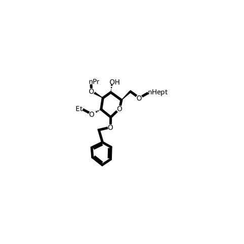 CCCCCCCOC[C@H]1OC(OCc2ccccc2)[C@H](OCC)[C@@H](OCCC)[C@@H]1O